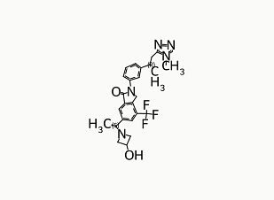 C[C@H](Cc1nncn1C)c1cccc(N2Cc3c(cc([C@H](C)N4CC(O)C4)cc3C(F)(F)F)C2=O)c1